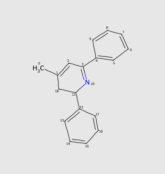 CC1=CC(c2ccccc2)=NC(c2ccccc2)C1